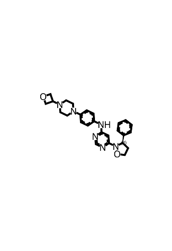 c1ccc([C@H]2CCON2c2cc(Nc3ccc(N4CCN(C5COC5)CC4)cc3)ncn2)cc1